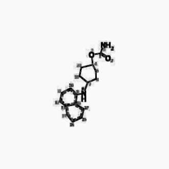 NC(=O)OC1CCC(Nc2cccc3ccccc23)CC1